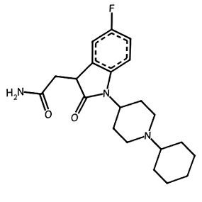 NC(=O)CC1C(=O)N(C2CCN(C3CCCCC3)CC2)c2ccc(F)cc21